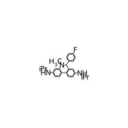 CC(C)Nc1ccc2c(c1)C(c1ccc(F)cc1)N(C)c1cc(NC(C)C)ccc1-2